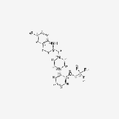 Fc1ccc2c(c1)CCC(CN1CCN(c3ccccc3OCC(F)(F)F)CC1)N2